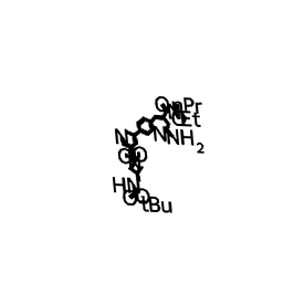 CCCN(OCC)C(=O)C1=Cc2ccc(-c3cncc(S(=O)(=O)N4CC(CNC(=O)OC(C)(C)C)C4)c3)cc2N=C(N)C1